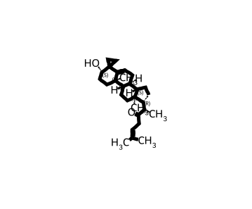 CC(C)=CCC(=O)[C@@H](C)[C@H]1CC[C@H]2[C@@H]3CC=C4C5(CC5)[C@@H](O)CC[C@]4(C)[C@H]3CC[C@]12C